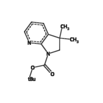 CC(C)(C)OC(=O)N1CC(C)(C)c2cccnc21